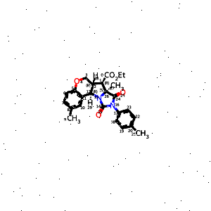 CCOC(=O)[C@@H]1[C@H]2COc3ccc(C)cc3[C@@H]2N2C(=O)N(c3ccc(C)cc3)C(=O)[C@]12C